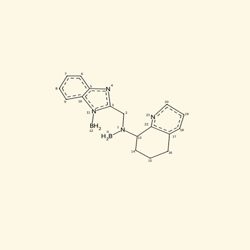 BN(Cc1nc2ccccc2n1B)C1CCCc2cccnc21